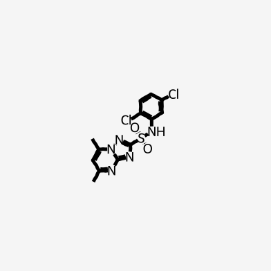 Cc1cc(C)n2nc(S(=O)(=O)Nc3cc(Cl)ccc3Cl)nc2n1